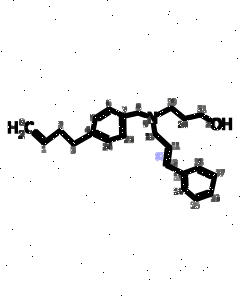 C=CCCc1ccc(CN(C/C=C/c2ccccc2)CCCO)cc1